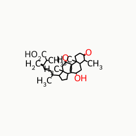 C=C(CCC(C)C1CCC2C3=C(C(=O)CC21C)C1(C)CCC(=O)C(C)C1CC3O)C(C)C(=O)O